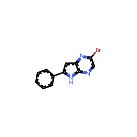 Brc1cnc2[nH]c(-c3ccccc3)cc2n1